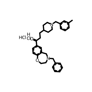 Cc1cccc(CN2CCC(CCC(=O)c3ccc4c(c3)CN(Cc3ccccc3)CCO4)CC2)c1.Cl.Cl